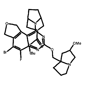 COC1CN2CCCC2(COc2nc(N3C4CCC3CN(C(=O)OC(C)(C)C)C4)c3c4c(c(Br)c(F)c3n2)COC4)C1